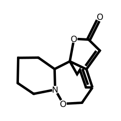 O=C1C=C2C3C=CCC2(O1)C1CCCCN1OC3